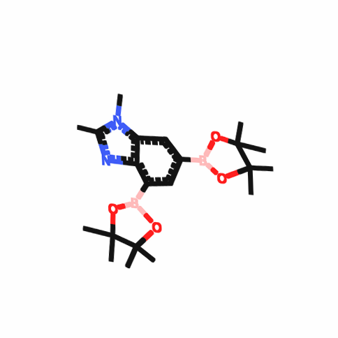 Cc1nc2c(B3OC(C)(C)C(C)(C)O3)cc(B3OC(C)(C)C(C)(C)O3)cc2n1C